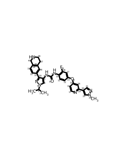 CC(C)n1cc(NC(=O)Nc2ccc(Oc3ccnc(-c4cnn(C)c4)c3)cc2F)c(-c2ccc3c(c2)CCNC3)n1